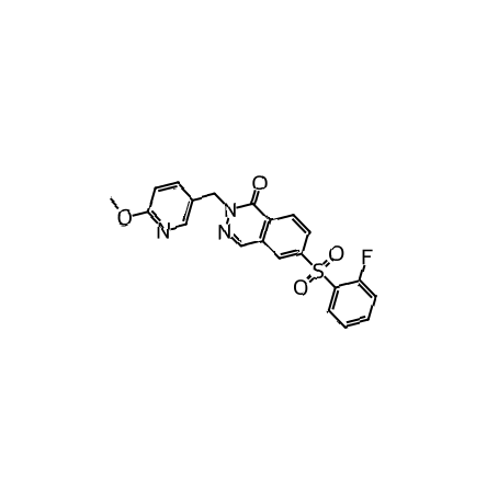 COc1ccc(Cn2ncc3cc(S(=O)(=O)c4ccccc4F)ccc3c2=O)cn1